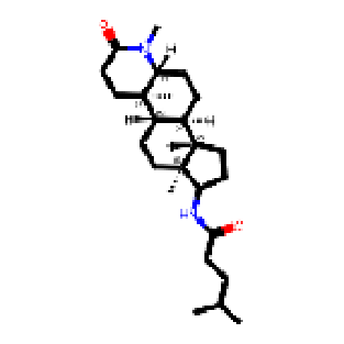 CC(C)CCC(=O)NC1CC[C@H]2[C@@H]3CC[C@H]4N(C)C(=O)CC[C@]4(C)[C@H]3CC[C@]12C